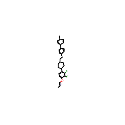 C/C=C/Oc1ccc(C2CCC(CCc3ccc(-c4ccc(C)cc4)cc3)CC2)c(F)c1F